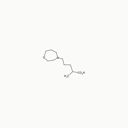 CC(CCCN1CCCOCC1)C(=O)O